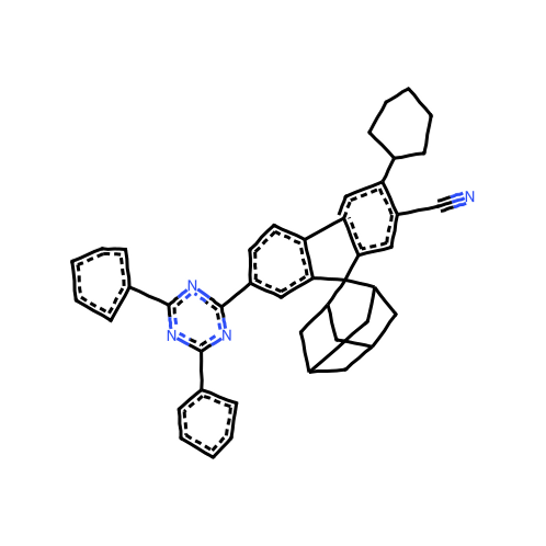 N#Cc1cc2c(cc1C1CCCCC1)-c1ccc(-c3nc(-c4ccccc4)nc(-c4ccccc4)n3)cc1C21C2CC3CC(C2)CC1C3